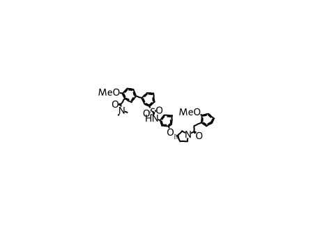 COc1ccccc1CC(=O)N1CC[C@H](Oc2cccc(NS(=O)(=O)c3cccc(-c4ccc(OC)c(C(=O)N(C)C)c4)c3)c2)C1